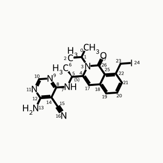 CC(C)n1c([C@H](C)Nc2ncnc(N)c2C#N)cc2cccc(CI)c2c1=O